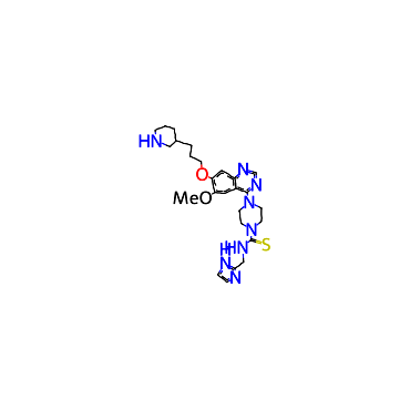 COc1cc2c(N3CCN(C(=S)NCc4ncc[nH]4)CC3)ncnc2cc1OCCCC1CCCNC1